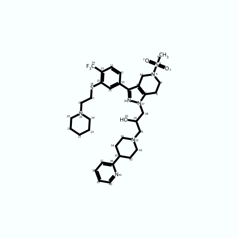 CS(=O)(=O)N1CCc2c(c(-c3ccc(C(F)(F)F)c(SCCN4CCCCC4)c3)nn2CC(O)CN2CCC(c3ccccn3)CC2)C1